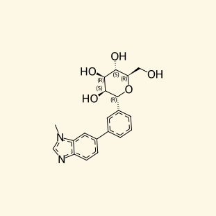 Cn1cnc2ccc(-c3cccc([C@H]4O[C@H](CO)[C@@H](O)[C@H](O)[C@@H]4O)c3)cc21